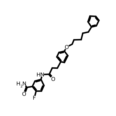 NC(=O)c1cc(NC(=O)CCc2ccc(OCCCCCc3ccccc3)cc2)ccc1F